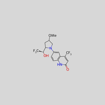 COC1CC([C@@H](O)C(F)(F)F)N(c2ccc3[nH]c(=O)cc(C(F)(F)F)c3c2)C1